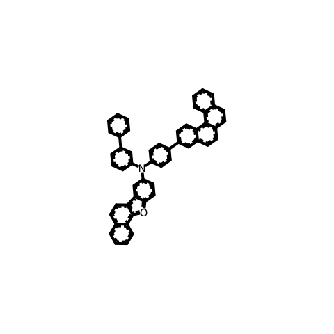 c1ccc(-c2cccc(N(c3ccc(-c4ccc5c(ccc6ccc7ccccc7c65)c4)cc3)c3ccc4oc5c6ccccc6ccc5c4c3)c2)cc1